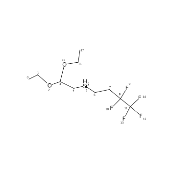 CCOC(C[SiH2]CCC(F)(F)C(F)(F)F)OCC